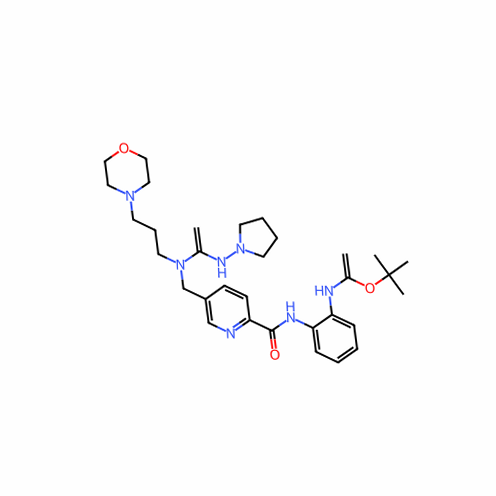 C=C(Nc1ccccc1NC(=O)c1ccc(CN(CCCN2CCOCC2)C(=C)NN2CCCC2)cn1)OC(C)(C)C